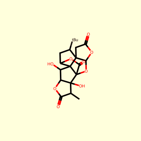 CC1C(=O)OC2C(O)C34C5CC(C(C)(C)C)C36CC(=O)OC6OC4(C(=O)O5)C12O